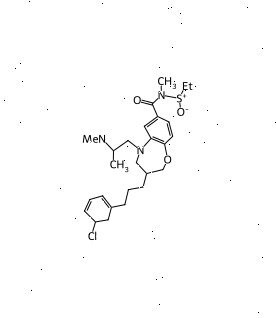 CC[S+]([O-])N(C)C(=O)c1ccc2c(c1)N(CC(C)NC)CC(CCCC1=CC=CC(Cl)C1)CO2